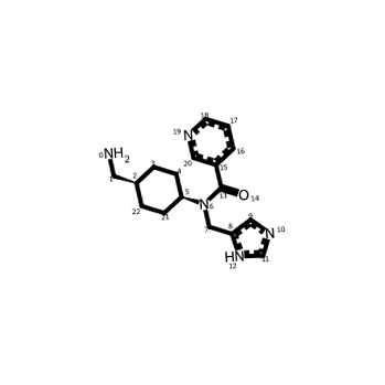 NC[C@H]1CC[C@@H](N(Cc2cnc[nH]2)C(=O)c2cccnc2)CC1